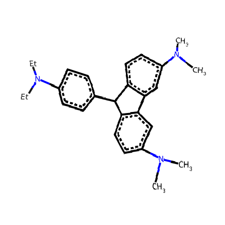 CCN(CC)c1ccc(C2c3ccc(N(C)C)cc3-c3cc(N(C)C)ccc32)cc1